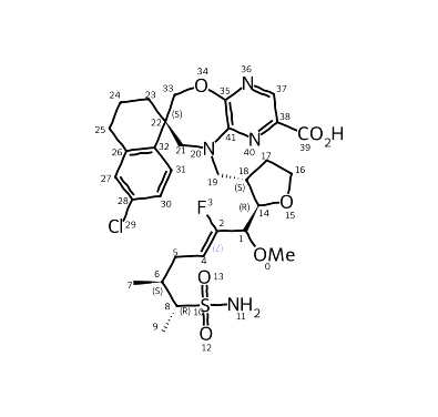 COC(/C(F)=C/C[C@H](C)[C@@H](C)S(N)(=O)=O)[C@@H]1OCC[C@H]1CN1C[C@@]2(CCCc3cc(Cl)ccc32)COc2ncc(C(=O)O)nc21